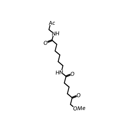 COCC(=O)CCCC(=O)NCCCCCC(=O)NCC(C)=O